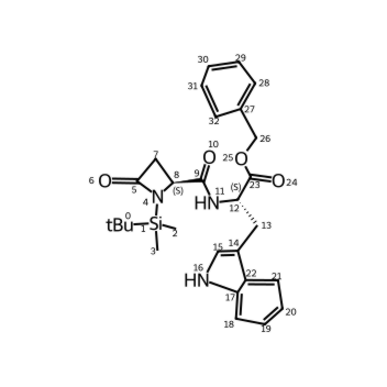 CC(C)(C)[Si](C)(C)N1C(=O)C[C@H]1C(=O)N[C@@H](Cc1c[nH]c2ccccc12)C(=O)OCc1ccccc1